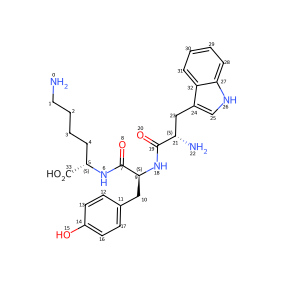 NCCCC[C@H](NC(=O)[C@H](Cc1ccc(O)cc1)NC(=O)[C@@H](N)Cc1c[nH]c2ccccc12)C(=O)O